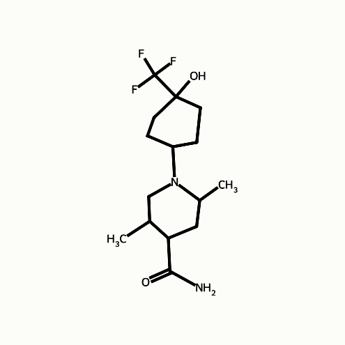 CC1CN(C2CCC(O)(C(F)(F)F)CC2)C(C)CC1C(N)=O